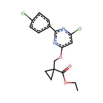 CCOC(=O)C1(COc2cc(Cl)nc(-c3ccc(Cl)cc3)n2)CC1